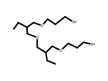 CCC(COCCCS)COCC(CC)COCCCS